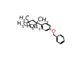 CC(C)(C)CC(C)(C)c1ccc(OCc2ccccc2)cc1